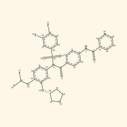 O=C(Nc1ccc(C(=O)N(c2ccc(OC(F)F)c(O[C@@H]3CCOC3)c2)S(=O)(=O)c2ccc(F)c(F)c2)cc1)c1cccnc1